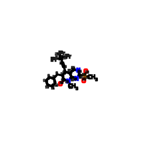 CC(C)[Si](C#Cc1c(Cc2ccccc2)c(=O)n(C)c2nc(S(C)(=O)=O)ncc12)(C(C)C)C(C)C